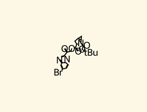 CC(C)(C)OC(=O)N1C(C(=O)OCC(=O)c2cnc3cc(Br)ccc3n2)CC2CC21